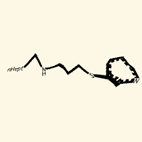 CCCCCCCCNCCCSc1cccnc1